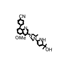 COc1c(N2CCN(C3=CC=C(C(C)(C)O)CN3)C(C)C2)cnc2c(-c3ccc(C#N)cc3)cccc12